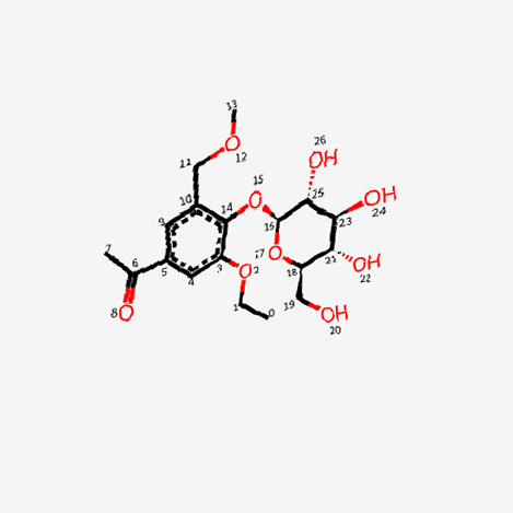 CCOc1cc(C(C)=O)cc(COC)c1O[C@@H]1O[C@H](CO)[C@@H](O)[C@H](O)[C@H]1O